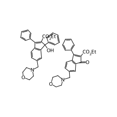 CCOC(=O)C1=C(c2ccccc2)c2ccc(CN3CCOCC3)cc2C1(O)c1ccccc1.CCOC(=O)C1=C(c2ccccc2)c2ccc(CN3CCOCC3)cc2C1=O